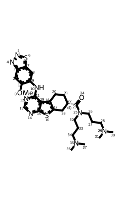 COc1cc2nnsc2cc1Nc1ncnc2sc3c(c12)CC[C@H](C(=O)N(CCCN(C)C)CCCN(C)C)C3